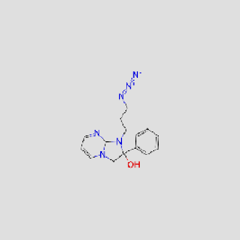 [N-]=[N+]=NCCCN1C2N=CC=CN2CC1(O)c1ccccc1